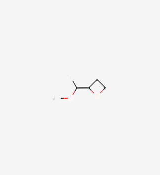 [CH2]CCOC(CC)C1CCO1